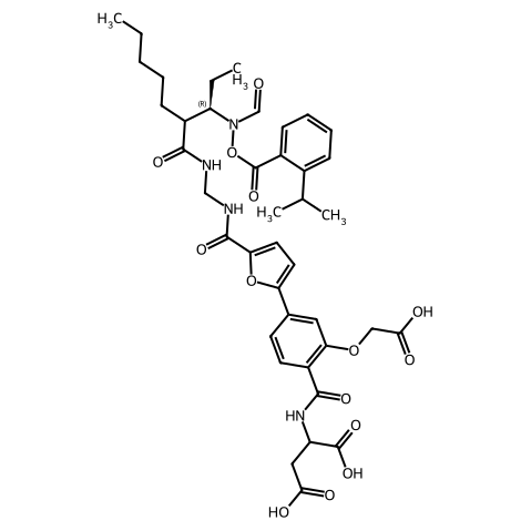 CCCCCC(C(=O)NCNC(=O)c1ccc(-c2ccc(C(=O)NC(CC(=O)O)C(=O)O)c(OCC(=O)O)c2)o1)[C@@H](CC)N(C=O)OC(=O)c1ccccc1C(C)C